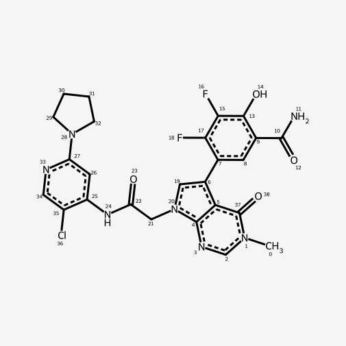 Cn1cnc2c(c(-c3cc(C(N)=O)c(O)c(F)c3F)cn2CC(=O)Nc2cc(N3CCCC3)ncc2Cl)c1=O